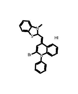 CN1c2ccccc2SC1C=C1C=C(Br)N(c2ccccc2)c2ccccc21.I